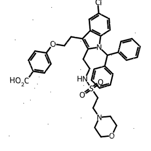 O=C(O)c1ccc(OCCc2c(CCNS(=O)(=O)CCN3CCOCC3)n(C(c3ccccc3)c3ccccc3)c3ccc(Cl)cc23)cc1